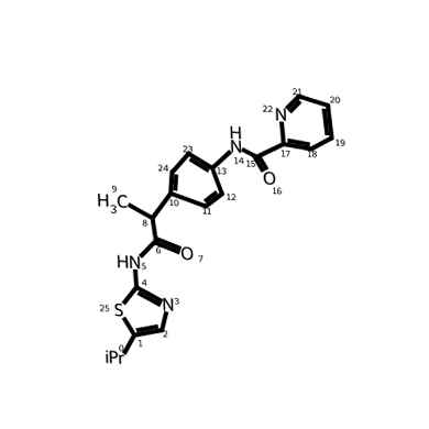 CC(C)c1cnc(NC(=O)C(C)c2ccc(NC(=O)c3ccccn3)cc2)s1